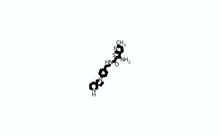 Cc1ccc2c(N)c(C(=O)NCCc3ccc(N4CC[C@@]5(CCCNC5)C4)cc3)sc2n1